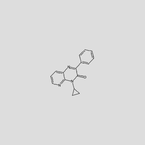 O=c1c(-c2ccccc2)nc2cccnc2n1C1CC1